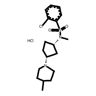 CC1CCN([C@@H]2CC[C@H](N(C)S(=O)(=O)c3ccccc3Cl)C2)CC1.Cl